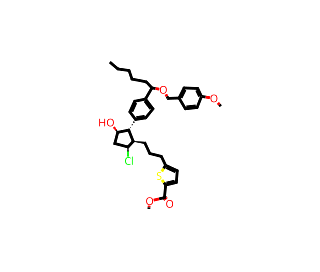 CCCCCC(OCc1ccc(OC)cc1)c1ccc([C@@H]2[C@@H](CCCc3ccc(C(=O)OC)s3)[C@@H](Cl)C[C@H]2O)cc1